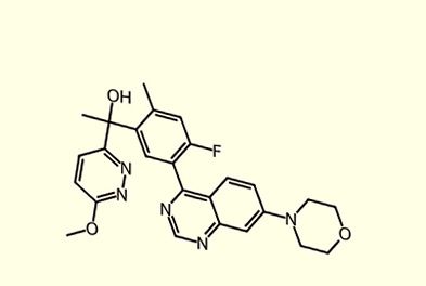 COc1ccc(C(C)(O)c2cc(-c3ncnc4cc(N5CCOCC5)ccc34)c(F)cc2C)nn1